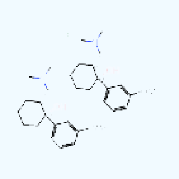 COc1cccc([C@@]2(O)CCCC[C@@H]2CN(C)C)c1.COc1cccc([C@@]2(O)CCCC[C@@H]2CN(C)C)c1.Cl